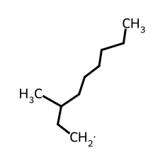 [CH2]CC(C)CCCCCC